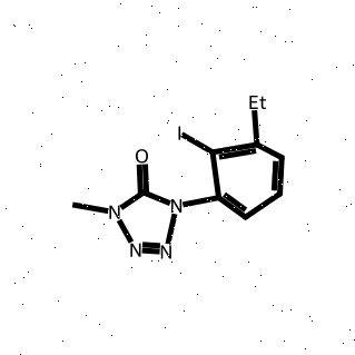 CCc1cccc(-n2nnn(C)c2=O)c1I